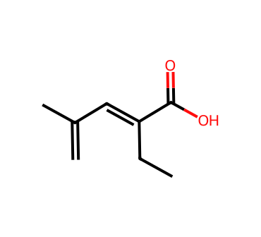 C=C(C)/C=C(\CC)C(=O)O